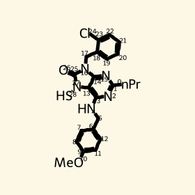 CCCc1nc(NCc2ccc(OC)cc2)c2c(n1)n(Cc1ccccc1Cl)c(=O)n2S